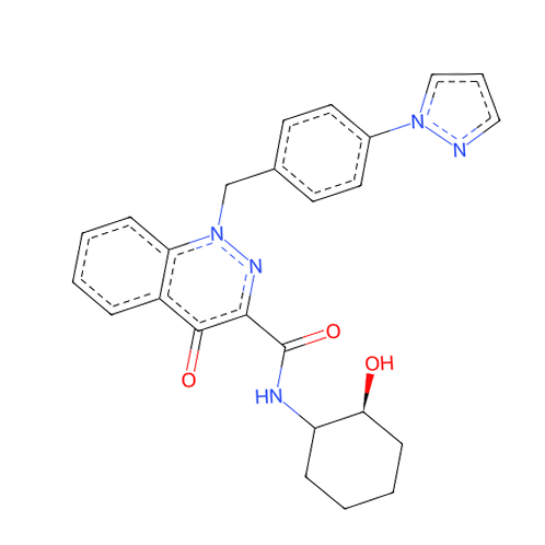 O=C(NC1CCCC[C@@H]1O)c1nn(Cc2ccc(-n3cccn3)cc2)c2ccccc2c1=O